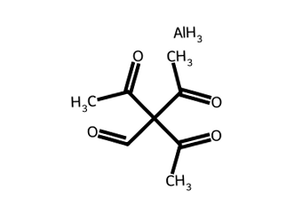 CC(=O)C(C=O)(C(C)=O)C(C)=O.[AlH3]